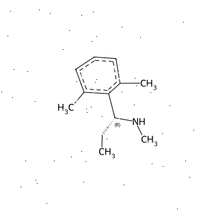 CC[C@@H](NC)c1c(C)cccc1C